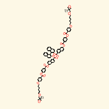 CCC1(COCCCCCCOc2ccc(C(=O)Oc3ccc(C(=O)Oc4ccc5cc(C(=O)Oc6ccc7ccccc7c6-c6c(OC(=O)c7ccc8cc(OC(=O)c9ccc(OC(=O)c%10ccc(OCCCCCCOCC%11(CC)COC%11)cc%10)cc9)ccc8c7)ccc7ccccc67)ccc5c4)cc3)cc2)COC1